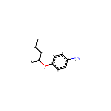 CCCC(C)Oc1ccc(N)cc1